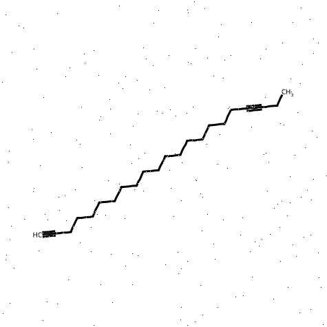 C#CCCCCCCCCCCCCCCCCC#CCC